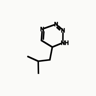 CC(C)CC1C=NN=NN1